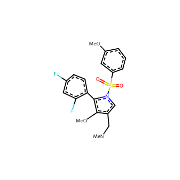 CNCc1cn(S(=O)(=O)c2cccc(OC)c2)c(-c2ccc(F)cc2F)c1OC